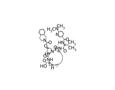 CC(C)[C@@H](NC(=O)c1ccc(N(C)C)nc1)C(=O)N[C@H]1CCCC/C=C\[C@@H]2C[C@@]2(C(=O)O)NC(=O)[C@@H]2C[C@@H](OC(=O)N3CCc4ccccc4C3)CN2C1=O